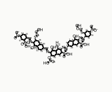 Nc1c(N=Nc2ccc3c(O)c(N=Nc4ccc([N+](=O)[O-])cc4SOOO)c(S(=O)(=O)O)cc3c2)c(S(=O)(=O)O)cc2cc(OS(=O)O)c(N=Nc3ccc4c(O)c(N=Nc5ccc([N+](=O)[O-])cc5S(=O)(=O)O)c(SOOO)cc4c3)c(O)c12